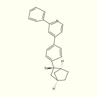 [2H][C@]1(c2ccc(-c3ccnc(-c4ccccc4)c3)cc2)C[C@@H]2CC[C@H]1C2